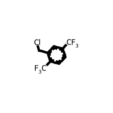 FC(F)(F)c1ccc(C(F)(F)F)c(CCl)c1